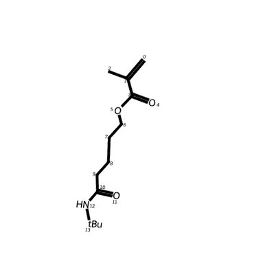 C=C(C)C(=O)OCCCCC(=O)NC(C)(C)C